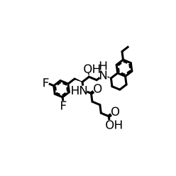 CCc1ccc2c(c1)[C@@H](NC[C@@H](O)[C@H](Cc1cc(F)cc(F)c1)NC(=O)CCCC(=O)O)CCC2